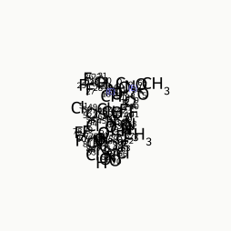 CO/N=C(/C(=O)OC)c1ccccc1CO/N=C(\C)c1cccc(C(F)(F)F)c1.CON(C(=O)c1cn(C)nc1C(F)F)C(C)Cc1c(Cl)cc(Cl)cc1Cl.O=[N+]([O-])c1cc(C(F)(F)F)c(Cl)c([N+](=O)[O-])c1Nc1ncc(C(F)(F)F)cc1Cl